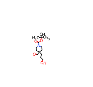 CC(C)(C)OC(=O)N1CCC(C=O)(CCCO)CC1